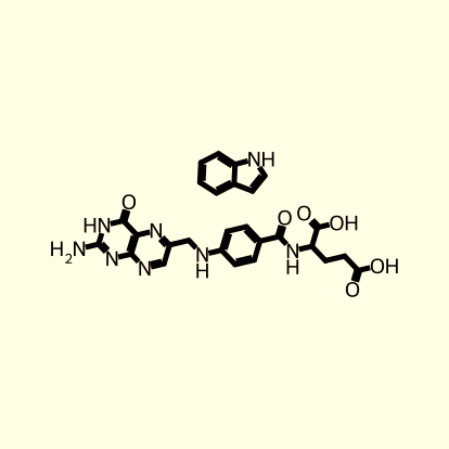 Nc1nc2ncc(CNc3ccc(C(=O)NC(CCC(=O)O)C(=O)O)cc3)nc2c(=O)[nH]1.c1ccc2[nH]ccc2c1